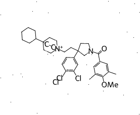 COc1c(C)cc(C(=O)N2CCC(CC[N+]34CCC(C5CCCCC5)(CC3)CC4)(c3ccc(Cl)c(Cl)c3)C2)cc1C.[Cl-]